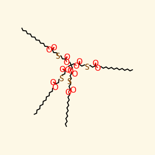 CCCCCCCCCCCCCOC(=O)CCSCCC(=O)OCC(COC(=O)CCSCCC(=O)OCCCCCCCCCCCCC)(COC(=O)CCSCCC(=O)OCCCCCCCCCCCCC)COC(=O)CCSCCC(=O)OCCCCCCCCCCCCC